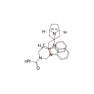 CCCC(=O)N1CCC(CCN2[C@@H]3CC[C@H]2CC(n2c(C)nc4ccccc42)C3)(c2ccccc2)CC1